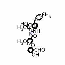 Cc1cc(C(=O)/N=c2\[nH]c3ccc(CN4CCN(C)CC4)cc3n2CC(C)(C)O)cc(Oc2cccc(O)c2C=O)n1